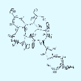 CNC(=O)[C@@H](c1ccc(F)cc1F)N1C(=O)C([C@@H]2Cc3ccc(O)cc3C2)NC(=O)[C@H]1CC(C)C